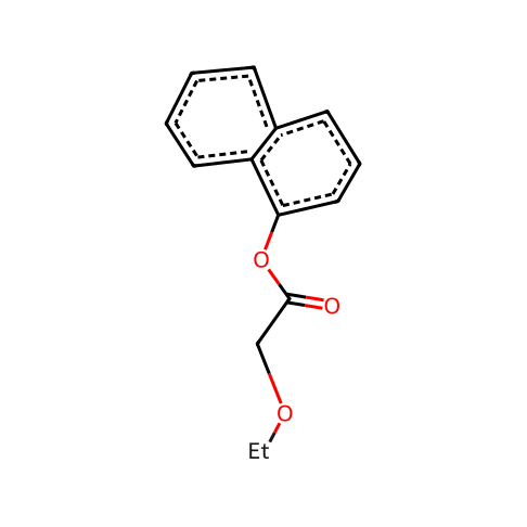 CCOCC(=O)Oc1cccc2ccccc12